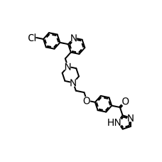 O=C(c1ccc(OCCN2CCN(Cc3cccnc3-c3ccc(Cl)cc3)CC2)cc1)c1ncc[nH]1